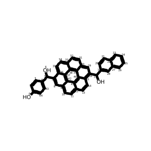 Oc1ccc(C(O)c2cc3ccc4ccc5c(C(O)c6ccc7ccccc7c6)cc6ccc7ccc2c2c7c6c5c4c32)cc1